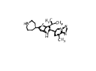 Cc1cc(-c2[nH]c3cc(C4CCCNCC4)sc3c2C(C)C)cn2ncnc12